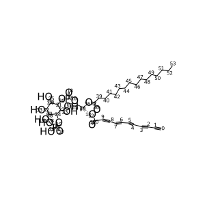 C#CC#CC#CC#CC#CC(=O)OC[C@H](COP(=O)(O)OC1C(O)C(OP(=O)(O)O)[C@H](O)C(O)[C@@H]1O)OC(=O)CCCCCCCCCCCCCCC